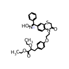 CCOC(=O)C(Cc1ccc(OCCN2C(=O)CSc3cc(/C(=N/O)c4ccccc4)ccc32)cc1)OCC